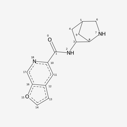 O=C(NC1CC2CNC1C2)c1cc2ccoc2cn1